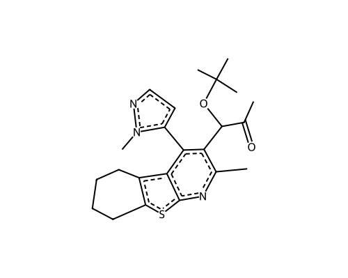 CC(=O)C(OC(C)(C)C)c1c(C)nc2sc3c(c2c1-c1ccnn1C)CCCC3